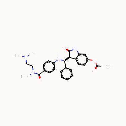 COC(=O)Oc1ccc2c(c1)NC(=O)/C2=C(\Nc1ccc(C(=O)N(C)CCN(C)C)cc1)c1ccccc1